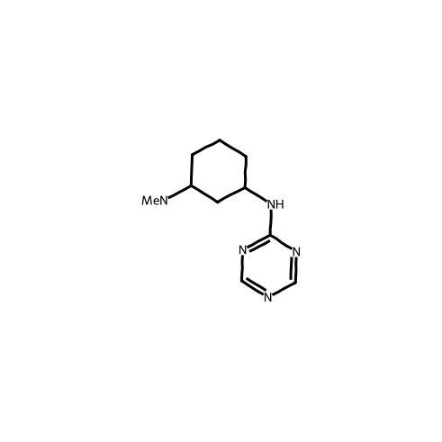 CNC1CCCC(Nc2ncncn2)C1